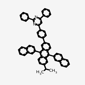 CC(C)c1ccc2c(-c3ccc4ccccc4c3)c3cc(-c4ccc(-c5cc(-c6ccccc6)nc(-c6ccccc6)n5)cc4)ccc3c(-c3ccc4ccccc4c3)c2c1